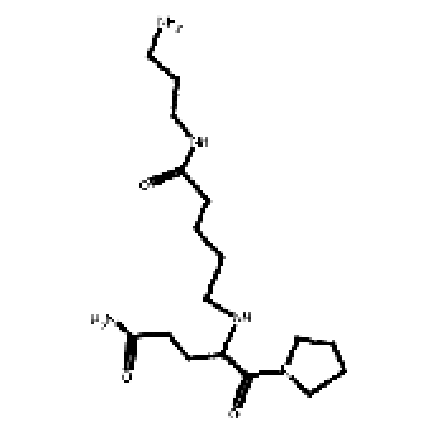 NCCCNC(=O)CCCCNC(CCC(N)=O)C(=O)N1CCCC1